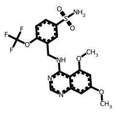 COc1cc(OC)c2c(NCc3cc(S(N)(=O)=O)ccc3OC(F)(F)F)ncnc2c1